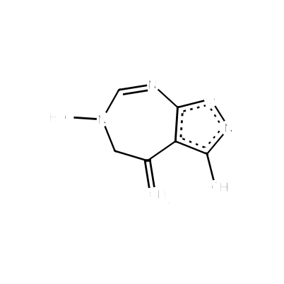 C=C1CN(C)C=Nc2onc(C)c21